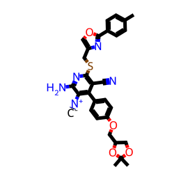 [C-]#[N+]c1c(N)nc(SCc2coc(-c3ccc(C)cc3)n2)c(C#N)c1-c1ccc(OCC2COC(C)(C)O2)cc1